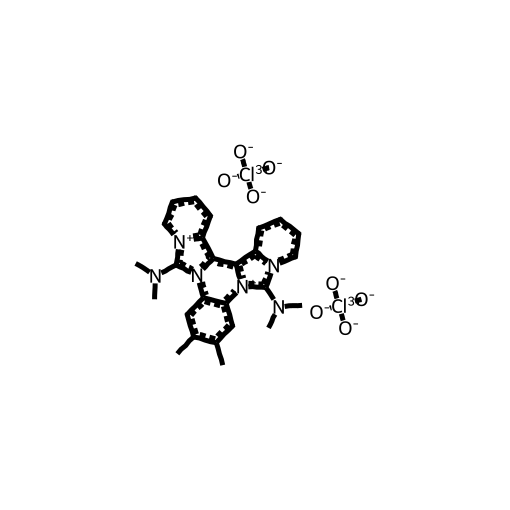 Cc1cc2c(cc1C)[n+]1c(N(C)C)n3ccccc3c1c1c3cccc[n+]3c(N(C)C)n21.[O-][Cl+3]([O-])([O-])[O-].[O-][Cl+3]([O-])([O-])[O-]